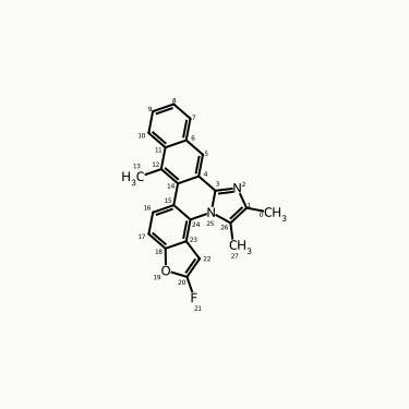 Cc1nc2c3cc4ccccc4c(C)c3c3ccc4oc(F)cc4c3n2c1C